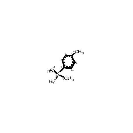 CCCS(C)(C)c1ccc(C)cc1